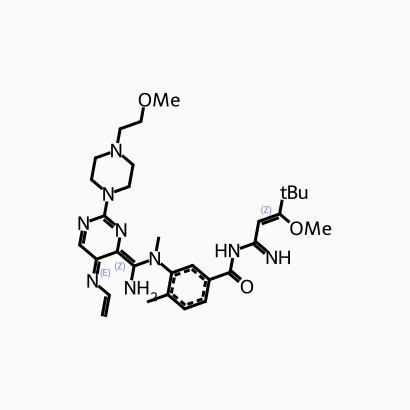 C=C/N=C1/C=NC(N2CCN(CCOC)CC2)=N/C1=C(/N)N(C)c1cc(C(=O)NC(=N)/C=C(\OC)C(C)(C)C)ccc1C